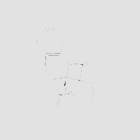 CCCCOC1(NC(=O)CCC)C(=O)N2C(C(=O)O)=C(COC)CS[C@H]21